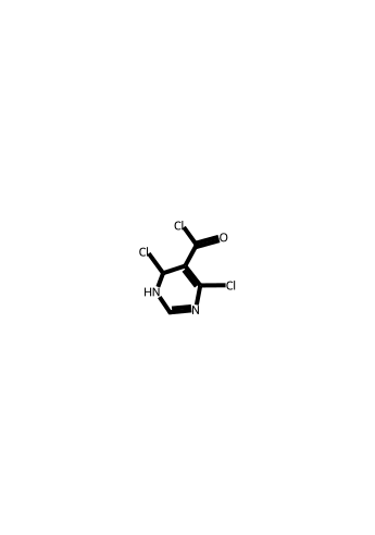 O=C(Cl)C1=C(Cl)N=CNC1Cl